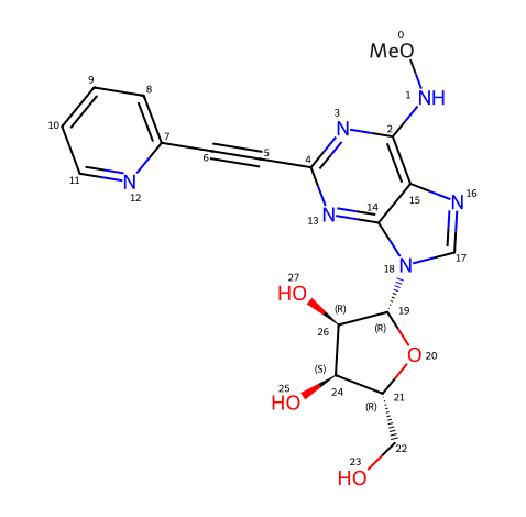 CONc1nc(C#Cc2ccccn2)nc2c1ncn2[C@@H]1O[C@H](CO)[C@@H](O)[C@H]1O